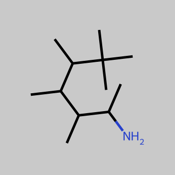 CC(N)C(C)C(C)C(C)C(C)(C)C